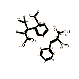 CC(C(=O)O)=C(c1ccccc1C(C)C)C(C)C.COC(=Cc1ccccc1)C(=O)O